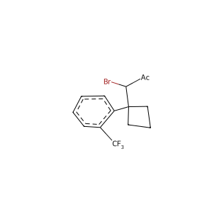 CC(=O)C(Br)C1(c2ccccc2C(F)(F)F)CCC1